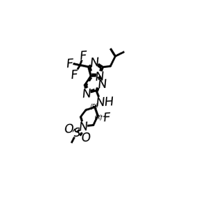 CC(C)Cc1nc(C(F)(F)F)c2cnc(N[C@@H]3CCN(S(C)(=O)=O)C[C@H]3F)nn12